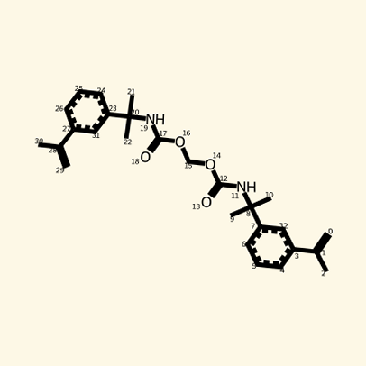 C=C(C)c1cccc(C(C)(C)NC(=O)OCOC(=O)NC(C)(C)c2cccc(C(=C)C)c2)c1